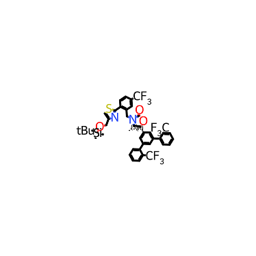 C[C@H]1[C@@H](c2cc(-c3ccccc3C(F)(F)F)cc(-c3ccccc3C(F)(F)F)c2)OC(=O)N1Cc1cc(C(F)(F)F)ccc1-c1nc(CO[Si](C)(C)C(C)(C)C)cs1